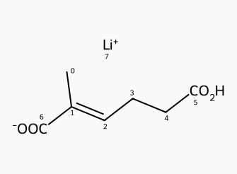 CC(=CCCC(=O)O)C(=O)[O-].[Li+]